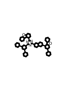 c1ccc(-c2cc(-c3ccccc3)cc(-c3nc(-c4ccc5cc(-c6cc(-c7ccccc7)cc7oc8ccccc8c67)ccc5c4)nc(-c4cccc5oc6ccccc6c45)n3)c2)cc1